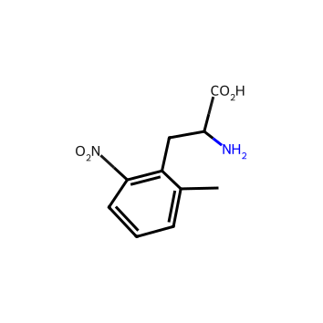 Cc1cccc([N+](=O)[O-])c1CC(N)C(=O)O